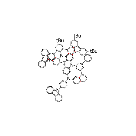 CC(C)(C)c1cc(-c2ccccc2)c(N2c3cc(-n4c5ccccc5c5ccccc54)ccc3B3c4ccc(N(c5ccccc5)c5ccc(-n6c7ccccc7c7ccccc76)cc5)cc4N(c4cc(-c5ccccc5)cc(-c5ccccc5)c4)c4cc(-n5c6ccc(C(C)(C)C)cc6c6cc(C(C)(C)C)ccc65)cc2c43)c(-c2ccccc2)c1